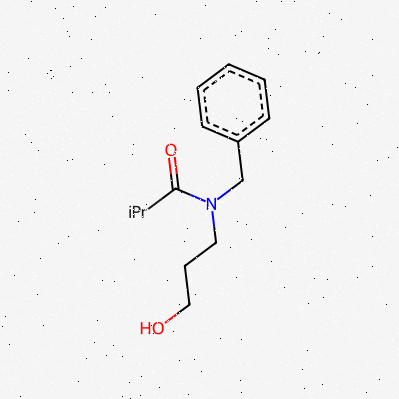 CC(C)C(=O)N(CCCO)Cc1ccccc1